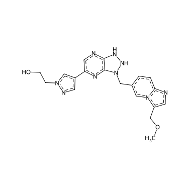 COCc1cnc2ccc(CN3NNc4ncc(-c5cnn(CCO)c5)nc43)cn12